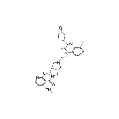 Cc1ccnc(C)c1C(=O)N1CC2CN(CC[C@H](NC(=O)C3CCC(=O)C3)c3cccc(F)c3)CC2C1